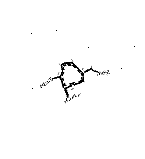 COc1ccc(CN)cc1OC(C)=O